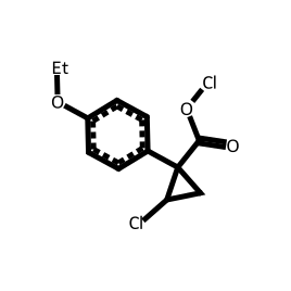 CCOc1ccc(C2(C(=O)OCl)CC2Cl)cc1